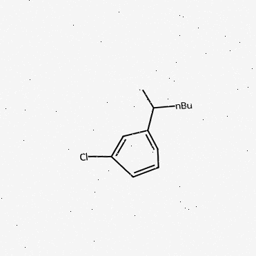 [CH2]C(CCCC)c1cccc(Cl)c1